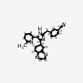 Cc1cccc(-c2[nH]c(Cc3cccc(C#N)c3)nc2-c2ccc3nccnc3c2)n1